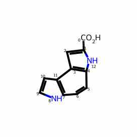 O=C(O)c1cc2c(ccc3[nH]ccc32)[nH]1